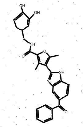 Cc1oc(C(=O)NCC2C=C(O)C(O)=CC2)c(C)c1-c1nc2cc(C(=O)c3ccccc3)ccc2[nH]1